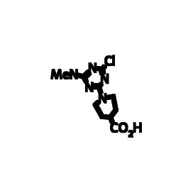 CNc1nc(Cl)nc(N2CCC(C(=O)O)CC2)n1